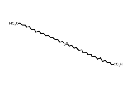 O=C(O)CCCCCCCCCCCCCCCCCCCSSCCCCCCCCCCCCCCCCCCCC(=O)O